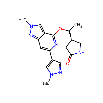 CC(Oc1nc(-c2cnn(C(C)(C)C)c2)cc2nn(C)cc12)[C@H]1CNC(=O)C1